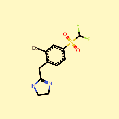 CCc1cc(S(=O)(=O)C(F)F)ccc1CC1=NCCN1